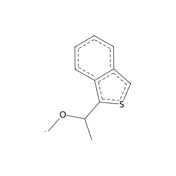 [CH2]OC(C)c1scc2ccccc12